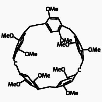 COc1cc2c(OC)cc1Cc1cc(OC)c(cc1OC)Cc1cc(OC)c(cc1OC)Cc1cc(OC)c(cc1OC)Cc1cc(OC)c(cc1OC)C2